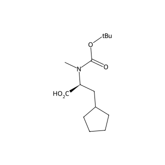 CN(C(=O)OC(C)(C)C)[C@@H](CC1CCCC1)C(=O)O